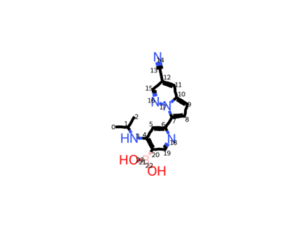 CC(C)Nc1cc(-c2ccc3cc(C#N)cnn23)ncc1B(O)O